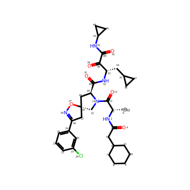 CC(C)(C)[C@H](NC(=O)CC1CCCCC1)C(=O)N1C[C@@]2(CC(c3cccc(Cl)c3)=NO2)C[C@H]1C(=O)N[C@@H](CC1CC1)C(=O)C(=O)NC1CC1